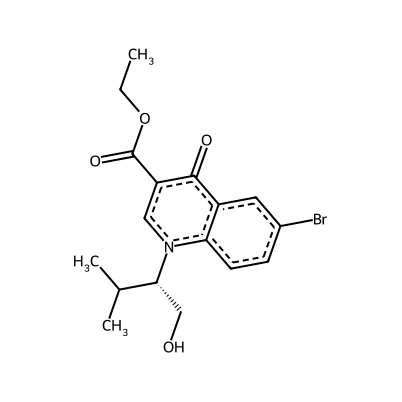 CCOC(=O)c1cn([C@H](CO)C(C)C)c2ccc(Br)cc2c1=O